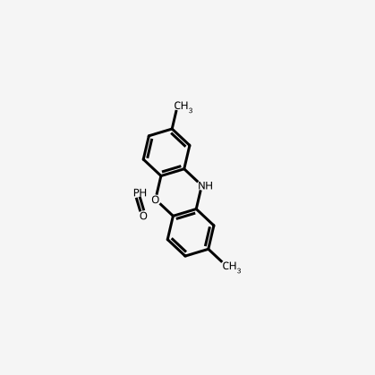 Cc1ccc2c(c1)Nc1cc(C)ccc1O2.O=P